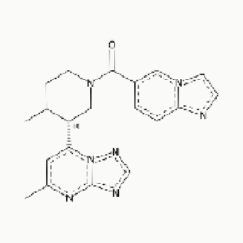 Cc1cc([C@H]2CN(C(=O)c3ccc4nccn4c3)CCC2C)n2ncnc2n1